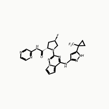 O=C(Nc1cnccn1)[C@@H]1C[C@@H](F)CN1c1nc(Nc2cc(C3(C(F)(F)F)CC3)[nH]n2)c2cccn2n1